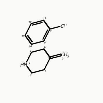 C=C1CCNCC1.Clc1ccccc1